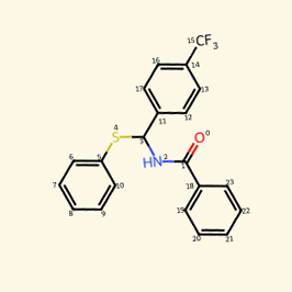 O=C(NC(Sc1ccccc1)c1ccc(C(F)(F)F)cc1)c1ccccc1